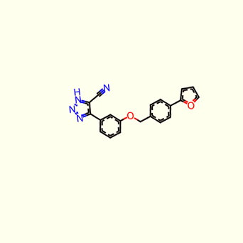 N#Cc1[nH]nnc1-c1cccc(OCc2ccc(-c3ccco3)cc2)c1